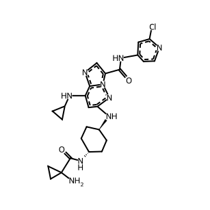 NC1(C(=O)N[C@H]2CC[C@H](Nc3cc(NC4CC4)c4ncc(C(=O)Nc5ccnc(Cl)c5)n4n3)CC2)CC1